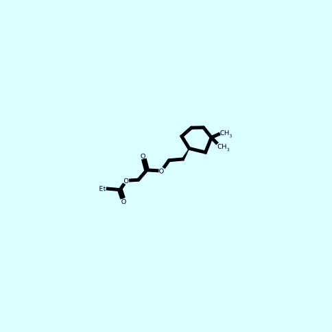 CCC(=O)OCC(=O)OCC[C@H]1CCCC(C)(C)C1